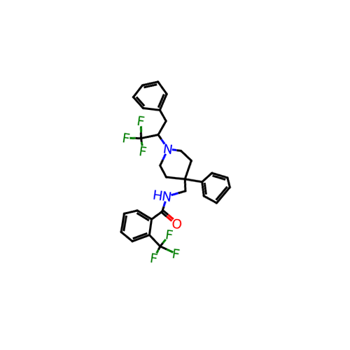 O=C(NCC1(c2ccccc2)CCN(C(Cc2ccccc2)C(F)(F)F)CC1)c1ccccc1C(F)(F)F